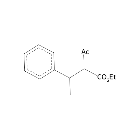 CCOC(=O)C(C(C)=O)C(C)c1ccccc1